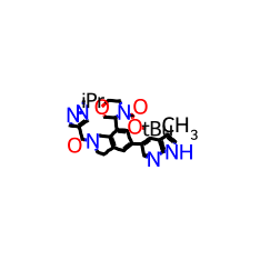 Cc1c[nH]c2ncc(-c3cc4c(c(C5COCCN5C(=O)OC(C)(C)C)c3)CN(C(=O)c3cnn(C(C)C)c3)CC4)cc12